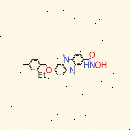 C=Nc1ccc(C(=O)NO)cc1N(C)c1ccc(OCc2ccc(C)cc2CC)cc1